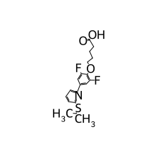 CC(C)Sc1cccc(-c2cc(F)c(OCCCCC(=O)O)c(F)c2)n1